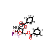 C[C@]1(C#N)C(OP)O[C@H](COC(=O)c2ccccc2)[C@H]1OC(=O)c1ccccc1